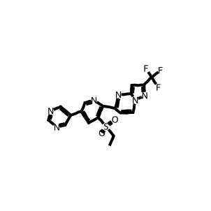 CCS(=O)(=O)c1cc(-c2cncnc2)cnc1-c1ccn2nc(C(F)(F)F)cc2n1